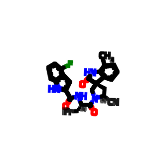 Cc1cccc2c1NC(=O)[C@]21C[C@@H](C#N)N(C(=O)[C@H](CC(C)C)NC(=O)c2cc3c(F)cccc3[nH]2)C1